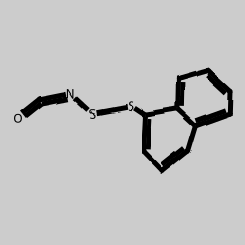 O=C=NSSc1cccc2ccccc12